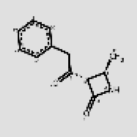 C[C@H]1NC(=O)[C@@H]1C(=O)Cc1ccccc1